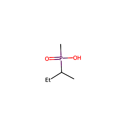 CCC(C)P(C)(=O)O